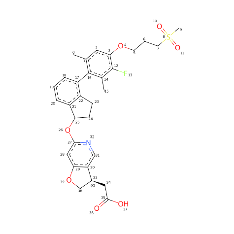 Cc1cc(OCCCS(C)(=O)=O)c(F)c(C)c1-c1cccc2c1CCC2Oc1cc2c(cn1)[C@@H](CC(=O)O)CO2